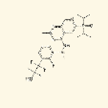 Cc1nc(N[C@H](C)c2cccc(C(F)(F)C(C)(C)O)c2F)c2cc(P(=O)(C(C)C)C(C)C)ncc2n1